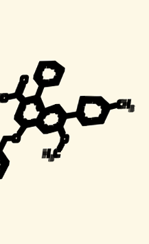 COc1cc2c(OCc3ccccc3)cc(C(=O)O)c(-c3ccccc3)c2cc1-c1ccc(C)cc1